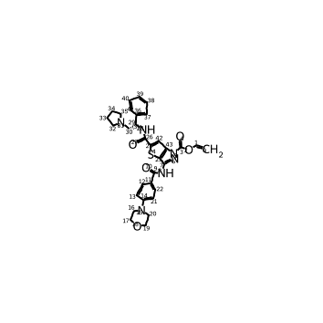 C=COC(=O)n1nc(NC(=O)c2ccc(N3CCOCC3)cc2)c2sc(C(=O)N[C@H](CN3CCCC3)c3ccccc3)cc21